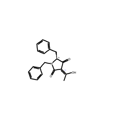 C/C(O)=C1/C(=O)[C@H](Cc2ccccc2)N(Cc2ccccc2)C1=O